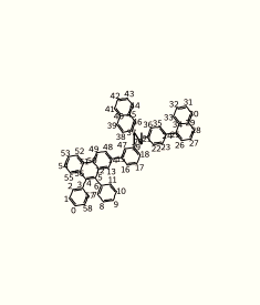 c1ccc(-c2c(-c3ccccc3)c3cc(-c4cccc(N(c5ccc(-c6cccc7ccccc67)cc5)c5ccc6ccccc6c5)c4)ccc3c3ccccc23)cc1